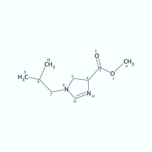 COC(=O)C1CN(CC(C)C)C=N1